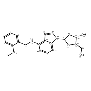 COc1ccccc1CNc1ncnc2c1ncn2C1C[C@H](O)[C@@H](CO)O1